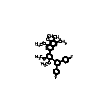 COc1cc(-c2cc3cc(C)c(C)c(OC)c3c(OC)n2)cc(-c2cc(-c3ccc(F)cc3)cc(-c3ccc(F)cc3)c2)c1OC